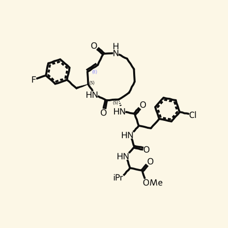 COC(=O)C(NC(=O)NC(Cc1cccc(Cl)c1)C(=O)N[C@H]1CCCCNC(=O)/C=C/[C@H](Cc2cccc(F)c2)NC1=O)C(C)C